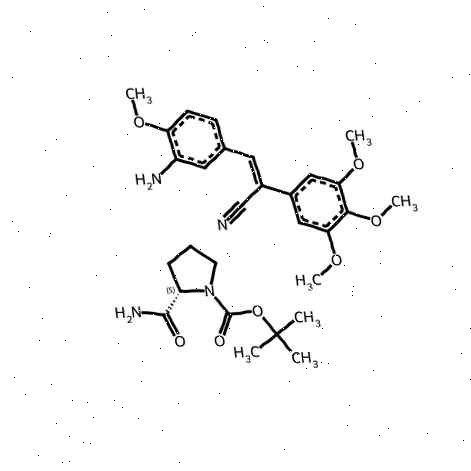 CC(C)(C)OC(=O)N1CCC[C@H]1C(N)=O.COc1ccc(C=C(C#N)c2cc(OC)c(OC)c(OC)c2)cc1N